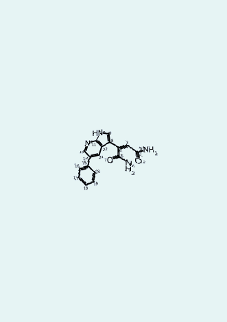 NC(=O)/C=C(\C(N)=O)c1c[nH]c2ncc(-c3ccccc3)cc12